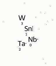 [Nb].[Sn].[Ta].[W]